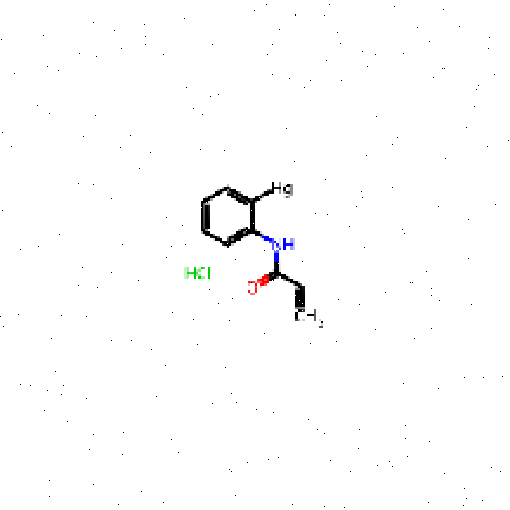 C=CC(=O)Nc1cccc[c]1[Hg].Cl